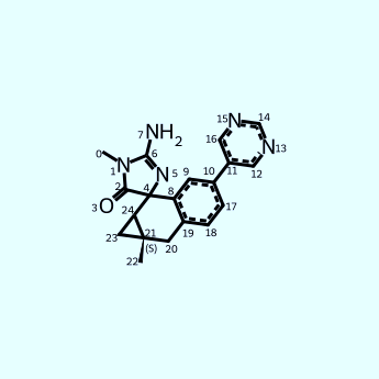 CN1C(=O)C2(N=C1N)c1cc(-c3cncnc3)ccc1C[C@]1(C)CC21